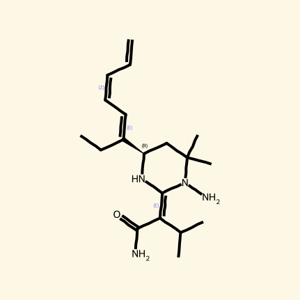 C=C/C=C\C=C(/CC)[C@H]1CC(C)(C)N(N)/C(=C(/C(N)=O)C(C)C)N1